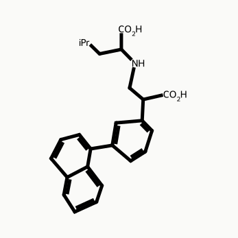 CC(C)CC(NCC(C(=O)O)c1cccc(-c2cccc3ccccc23)c1)C(=O)O